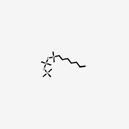 [CH2]CCCCCC[Si](C)(C)O[Si](C)(C)O[Si](C)(C)C